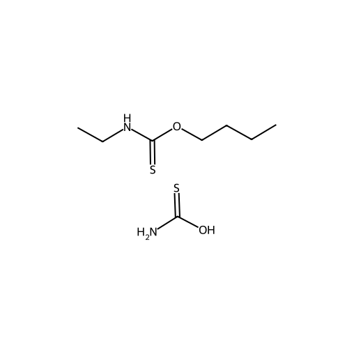 CCCCOC(=S)NCC.NC(O)=S